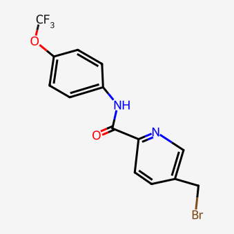 O=C(Nc1ccc(OC(F)(F)F)cc1)c1ccc(CBr)cn1